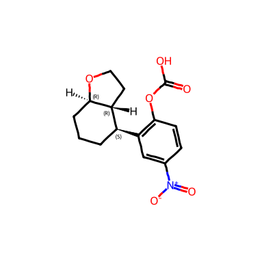 O=C(O)Oc1ccc([N+](=O)[O-])cc1[C@H]1CCC[C@H]2OCC[C@H]12